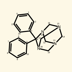 c1ccc(C2(c3ccccc3)N3CN4CN(C3)CN2C4)cc1